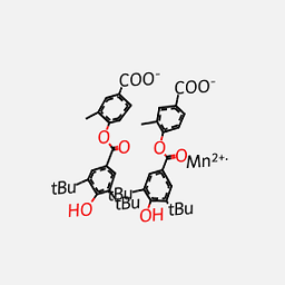 Cc1cc(C(=O)[O-])ccc1OC(=O)c1cc(C(C)(C)C)c(O)c(C(C)(C)C)c1.Cc1cc(C(=O)[O-])ccc1OC(=O)c1cc(C(C)(C)C)c(O)c(C(C)(C)C)c1.[Mn+2]